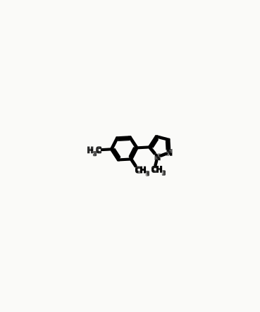 Cc1ccc(-c2ccnn2C)c(C)c1